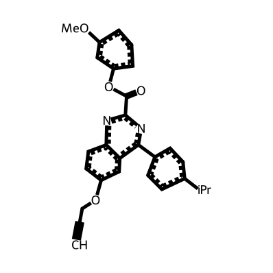 C#CCOc1ccc2nc(C(=O)Oc3cccc(OC)c3)nc(-c3ccc(C(C)C)cc3)c2c1